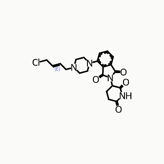 O=C1CCC(N2C(=O)c3cccc(N4CCN(C/C=C/CCl)CC4)c3C2=O)C(=O)N1